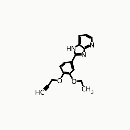 C#CCOc1ccc(-c2nc3ncccc3[nH]2)cc1OCC